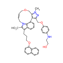 Cn1nc(COc2ccc(NCCO)cc2)c2c1COC/C=C\Cn1c(C(=O)O)c(CCCOc3cccc4ccccc34)c3cccc-2c31